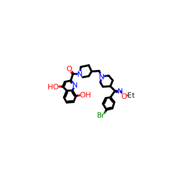 CCO/N=C(\c1ccc(Br)cc1)C1CCN(CC2CCN(C(=O)c3cc(O)c4cccc(O)c4n3)CC2)CC1